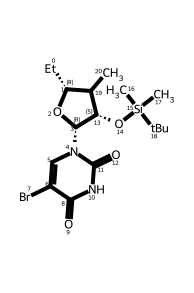 CC[C@H]1O[C@@H](n2cc(Br)c(=O)[nH]c2=O)[C@@H](O[Si](C)(C)C(C)(C)C)C1C